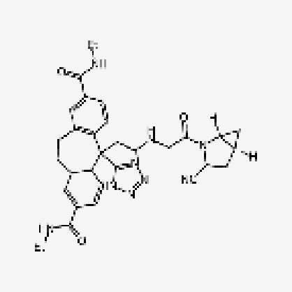 CCNC(=O)C1=CC2CCc3cc(C(=O)NCC)ccc3C(C[C@@H](I)NCC(=O)N3C(C#N)C[C@@H]4C[C@@H]43)(c3nnn[nH]3)C2C=C1